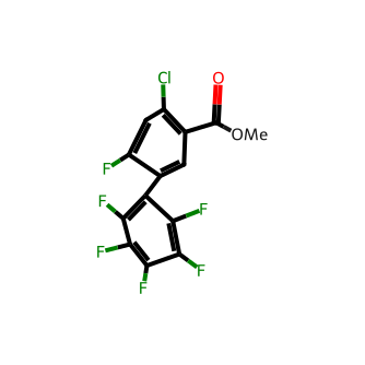 COC(=O)c1cc(-c2c(F)c(F)c(F)c(F)c2F)c(F)cc1Cl